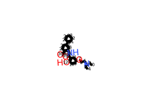 CCN(CC)CCOc1ccc(O)c(C(=O)Nc2cc(-c3ccccc3)ccc2C=O)c1